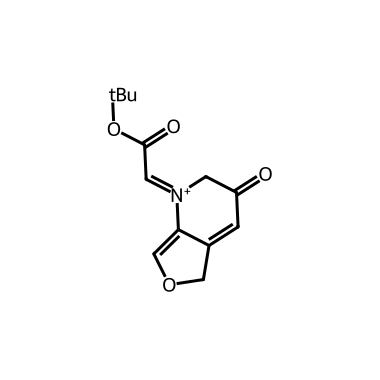 CC(C)(C)OC(=O)/C=[N+]1\CC(=O)C=C2COC=C21